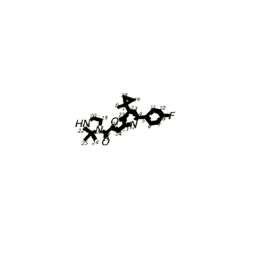 CC1(c2cc(-c3ccc(F)cc3)nc3cc(C(=O)N4CCNCC4(C)C)oc23)CC1